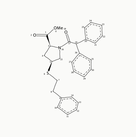 COC(=O)[C@@H]1C[C@H](SCCc2ccccc2)CN1C(=O)C(c1ccccc1)c1ccccc1